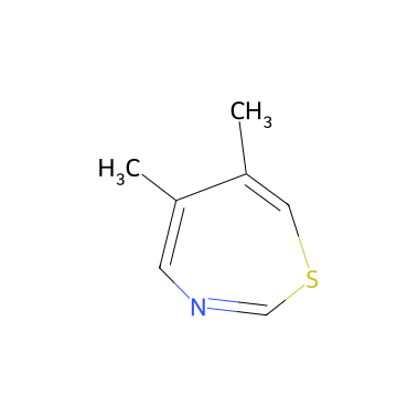 CC1=CN=CSC=C1C